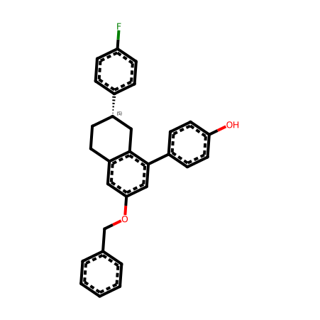 Oc1ccc(-c2cc(OCc3ccccc3)cc3c2C[C@@H](c2ccc(F)cc2)CC3)cc1